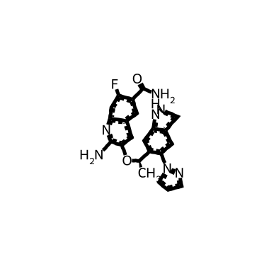 C[C@@H](Oc1cc2cc(C(N)=O)c(F)cc2nc1N)c1cc2[nH]ncc2cc1-n1cccn1